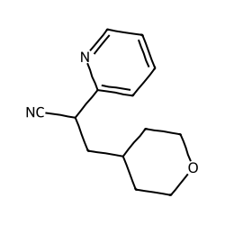 N#CC(CC1CCOCC1)c1ccccn1